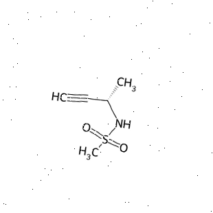 C#C[C@H](C)NS(C)(=O)=O